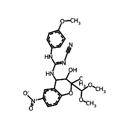 COc1ccc(NC(=NC#N)NC2c3cc([N+](=O)[O-])ccc3OC(C)(C(OC)OC)C2O)cc1